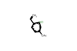 C=Cc1ccc(OC(C)=O)cc1.Cl